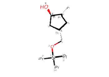 CC(C)[Si](OC[C@H]1C[C@@H](C)[C@H](O)C1)(C(C)C)C(C)C